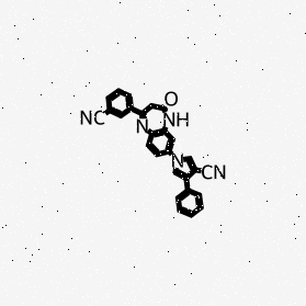 N#Cc1cccc(C2=Nc3ccc(-n4cc(C#N)c(-c5ccccc5)c4)cc3NC(=O)C2)c1